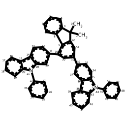 CC1(C)c2ccccc2-c2c(-c3ccc4c5ccccc5n(-c5ccccc5)c4c3)cc(-c3ccc4c(c3)c3ccccc3n4-c3ccccc3)cc21